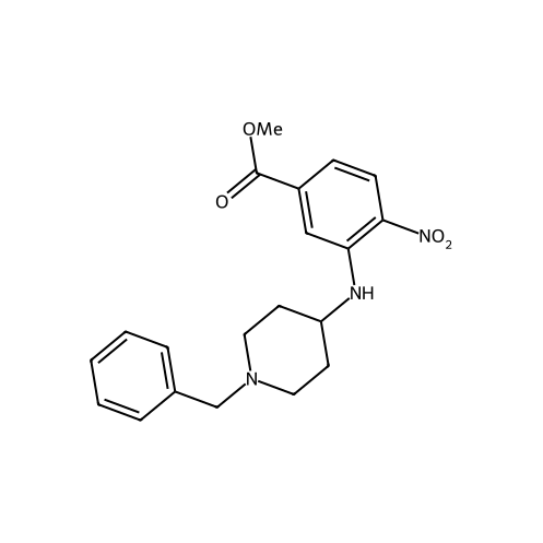 COC(=O)c1ccc([N+](=O)[O-])c(NC2CCN(Cc3ccccc3)CC2)c1